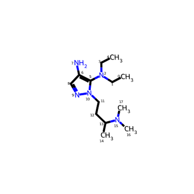 CCN(CC)c1c(N)cnn1CCC(C)N(C)C